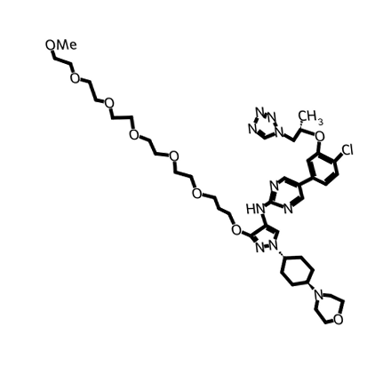 COCCOCCOCCOCCOCCOCCCOc1nn([C@H]2CC[C@H](N3CCOCC3)CC2)cc1Nc1ncc(-c2ccc(Cl)c(O[C@@H](C)Cn3cnnn3)c2)cn1